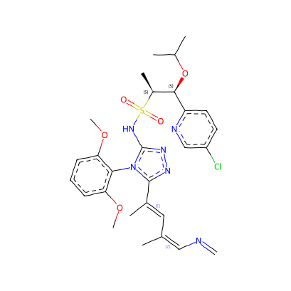 C=N/C=C(C)\C=C(/C)c1nnc(NS(=O)(=O)[C@@H](C)[C@@H](OC(C)C)c2ccc(Cl)cn2)n1-c1c(OC)cccc1OC